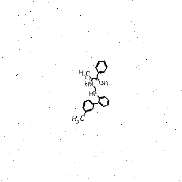 Cc1cccc(-c2ccccc2PCN[C@@H](C)[C@H](O)c2ccccc2)c1